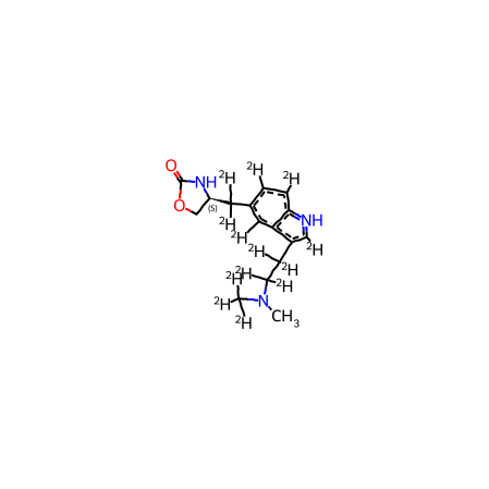 [2H]c1[nH]c2c([2H])c([2H])c(C([2H])([2H])[C@H]3COC(=O)N3)c([2H])c2c1C([2H])([2H])C([2H])([2H])N(C)C([2H])([2H])[2H]